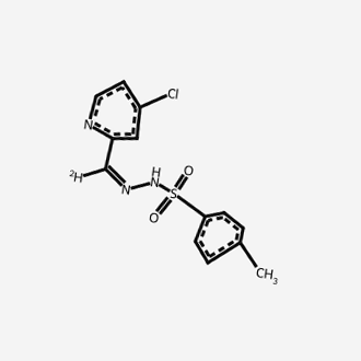 [2H]C(=NNS(=O)(=O)c1ccc(C)cc1)c1cc(Cl)ccn1